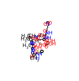 CCC1(Cn2ncc(-c3ccc(N4CCc5c(OC)ccc(C(=O)Nc6nc7ccccc7s6)c5C4)nc3C(=O)O)c2C)CC2(C)CC(C)(C)CC(OCCN(CCOC)C(=O)OC/C=C/c3ccc(O[C@@H]4O[C@H](C(=O)O)C[C@H](O)[C@H]4O)c(NC(=O)CCNC(=O)CCCCCN4C(=O)C=CC4=O)c3)(C2)C1